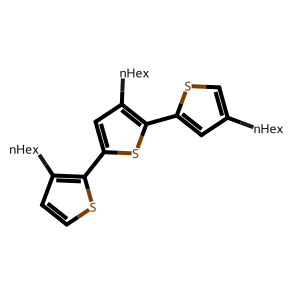 CCCCCCc1csc(-c2sc(-c3sccc3CCCCCC)cc2CCCCCC)c1